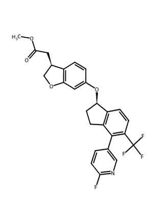 COC(=O)C[C@@H]1COc2cc(O[C@@H]3CCc4c3ccc(C(F)(F)F)c4-c3ccc(F)nc3)ccc21